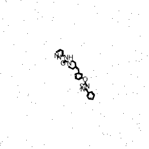 O=C(Nc1cccnn1)N1CCC(=Cc2cccc(Oc3nc(-c4ccccc4)ns3)c2)CC1